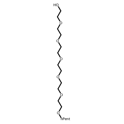 CCCCCOCCOCCOCCOCCOCCOCCO